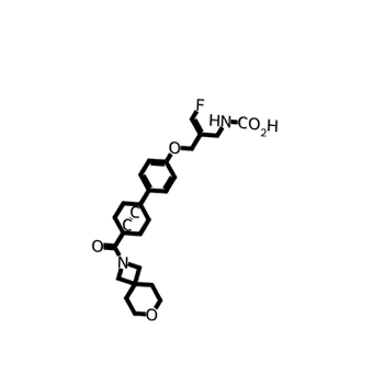 O=C(O)NCC(=CF)COc1ccc(C23CCC(C(=O)N4CC5(CCOCC5)C4)(CC2)CC3)cc1